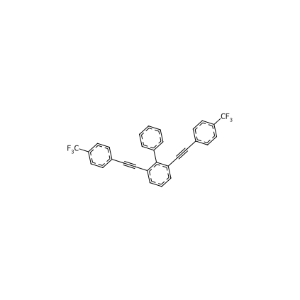 FC(F)(F)c1ccc(C#Cc2cccc(C#Cc3ccc(C(F)(F)F)cc3)c2-c2ccccc2)cc1